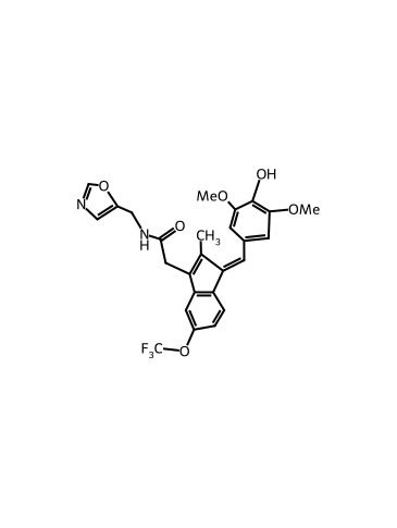 COc1cc(C=C2C(C)=C(CC(=O)NCc3cnco3)c3cc(OC(F)(F)F)ccc32)cc(OC)c1O